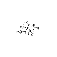 CC(C)C(NC(=N)N)C(C)(C)CS(=O)(=O)O.O=S(=O)(O)O